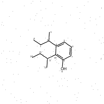 CCC(C)c1cccc(O)c1C(C)CC